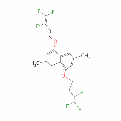 Cc1cc(OCCC(F)=C(F)F)c2cc(C)cc(OCCC(F)=C(F)F)c2c1